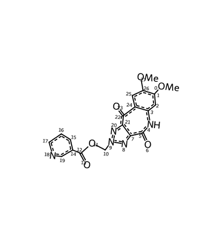 COc1cc2[nH]c(=O)c3nn(COC(=O)c4cccnc4)nc3c(=O)c2cc1OC